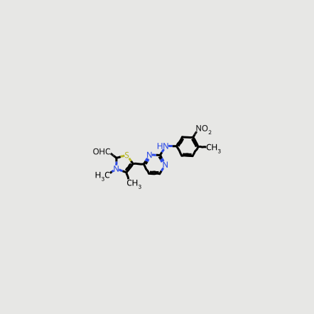 CC1=C(c2ccnc(Nc3ccc(C)c([N+](=O)[O-])c3)n2)SC(C=O)N1C